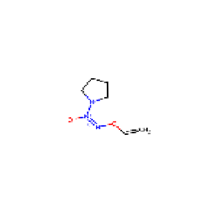 C=CO/N=[N+](/[O-])N1CCCC1